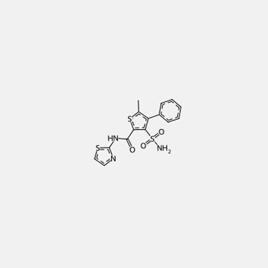 Cc1sc(C(=O)Nc2nccs2)c(S(N)(=O)=O)c1-c1ccccc1